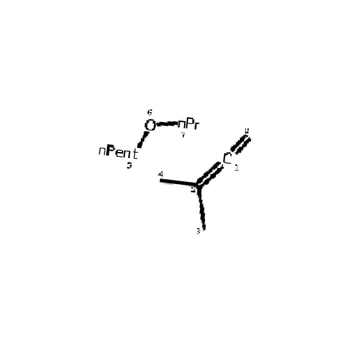 C=C=C(C)C.CCCCCOCCC